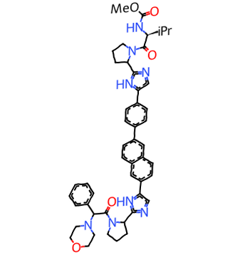 COC(=O)N[C@H](C(=O)N1CCCC1c1ncc(-c2ccc(-c3ccc4cc(-c5cnc(C6CCCN6C(=O)C(c6ccccc6)N6CCOCC6)[nH]5)ccc4c3)cc2)[nH]1)C(C)C